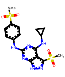 CNS(=O)(=O)c1ccc(Nc2nc(NC3CC3)c3c(S(C)(=O)=O)n[nH]c3n2)cc1